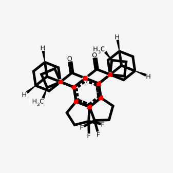 C[C@H]1CCN1c1nc(N2C[C@H]3C[C@@H](C2)C3CC(=O)OC(=O)CC2[C@@H]3C[C@H]2CN(c2nc(N4CC[C@@H]4C)nc4c2CCC4(F)F)C3)c2c(n1)C(F)(F)CC2